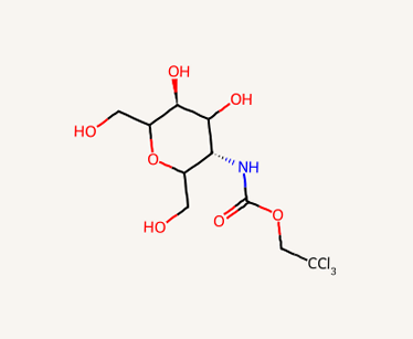 O=C(N[C@@H]1C(CO)OC(CO)[C@@H](O)C1O)OCC(Cl)(Cl)Cl